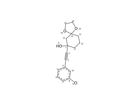 OC1(C#Cc2cccc(Cl)c2)CCCC2(C1)OCCO2